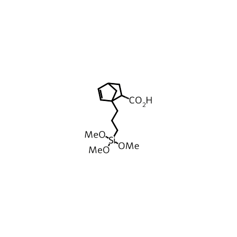 CO[Si](CCCC12C=CC(CC1C(=O)O)C2)(OC)OC